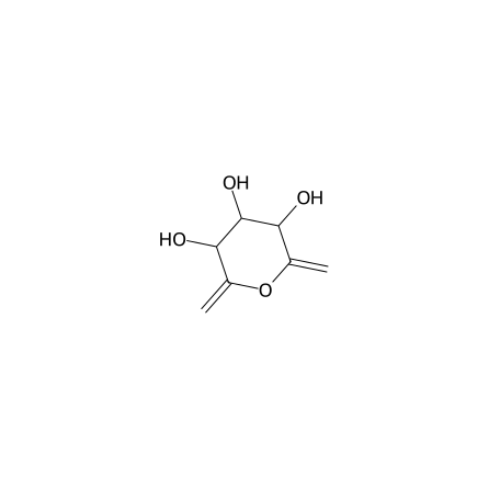 C=C1OC(=C)C(O)C(O)C1O